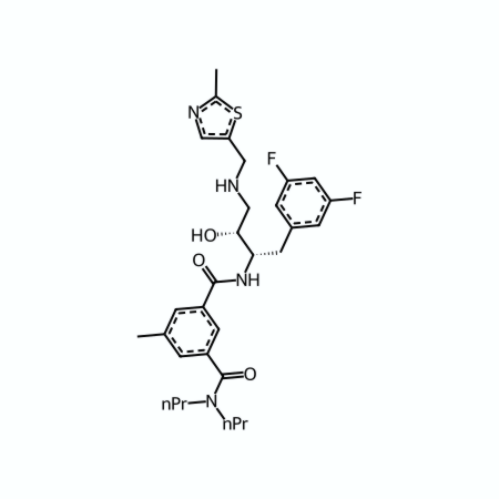 CCCN(CCC)C(=O)c1cc(C)cc(C(=O)N[C@@H](Cc2cc(F)cc(F)c2)[C@H](O)CNCc2cnc(C)s2)c1